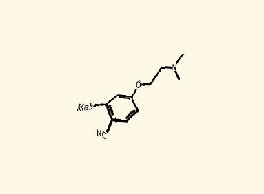 CSc1cc(OCCN(C)C)ccc1C#N